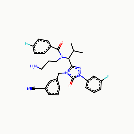 CC(C)C(c1nn(-c2cccc(F)c2)c(=O)n1Cc1cccc(C#N)c1)N(CCCN)C(=O)c1ccc(F)cc1